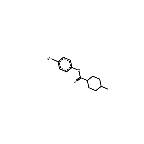 CCCc1ccc(OC(=O)C2CCC(C)CC2)cc1